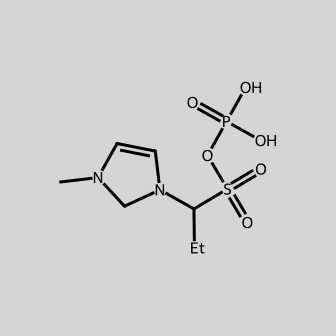 CCC(N1C=CN(C)C1)S(=O)(=O)OP(=O)(O)O